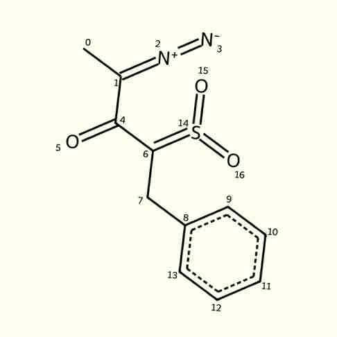 CC(=[N+]=[N-])C(=O)C(Cc1ccccc1)=S(=O)=O